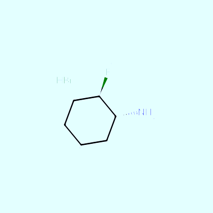 Br.N[C@@H]1CCCC[C@H]1F